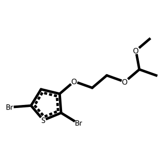 COC(C)OCCOc1cc(Br)sc1Br